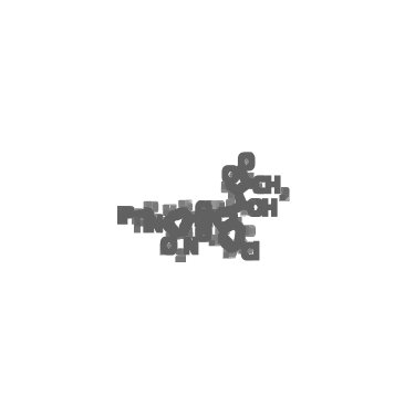 C=C1C(=O)OCC1C(O)c1cn(S(=O)(=O)c2ccc(NCC(C)C)c([N+](=O)[O-])c2)c2ccc(Cl)cc12